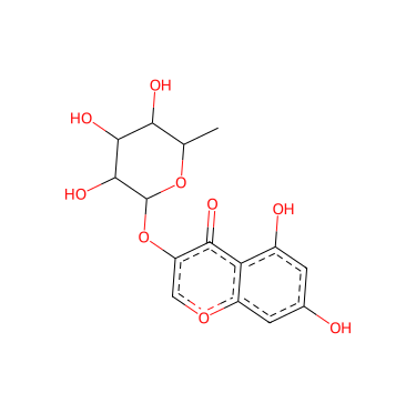 CC1OC(Oc2coc3cc(O)cc(O)c3c2=O)C(O)C(O)C1O